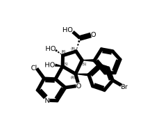 O=C(O)[C@H]1[C@@H](O)[C@@]2(O)c3c(Cl)cncc3O[C@@]2(c2ccc(Br)cc2)[C@@H]1c1ccccc1